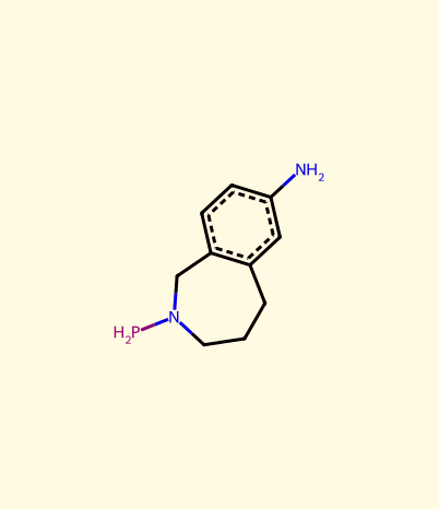 Nc1ccc2c(c1)CCCN(P)C2